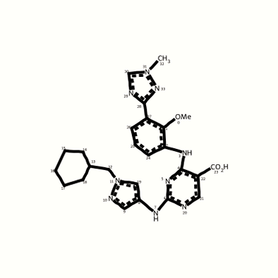 COc1c(Nc2nc(Nc3cnn(CC4CCCCC4)c3)ncc2C(=O)O)cccc1-c1ncn(C)n1